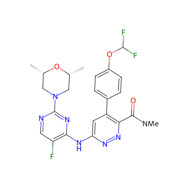 CNC(=O)c1nnc(Nc2nc(N3C[C@@H](C)O[C@@H](C)C3)ncc2F)cc1-c1ccc(OC(F)F)cc1